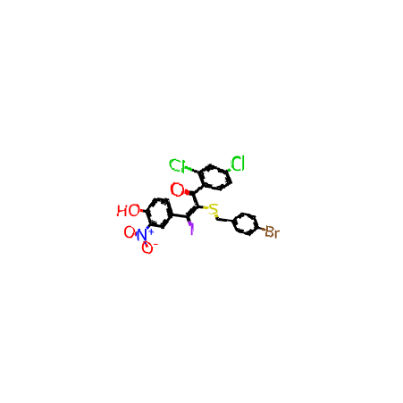 O=C(C(SCc1ccc(Br)cc1)=C(I)c1ccc(O)c([N+](=O)[O-])c1)c1ccc(Cl)cc1Cl